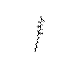 CCCCCCCCNCCNCCN(C)C